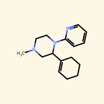 CN1CCN(c2ccccn2)C(C2=CCCCC2)C1